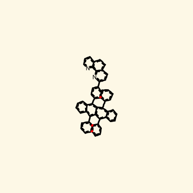 c1ccc(-c2c3ccccc3c(-c3ccccc3)c3c(-c4ccc(-c5ccc6ccc7cccnc7c6n5)cc4)c4ccccc4c(-c4ccccc4)c23)cc1